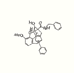 COc1ccc2c3c1O[C@@H]1C34CCN(c3ccccc3)C(C2)[C@]42C[C@H]3C1(O)[C@]3(C(=O)NCc1ccccc1)C2